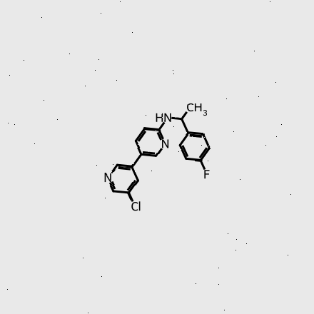 CC(Nc1ccc(-c2cncc(Cl)c2)cn1)c1ccc(F)cc1